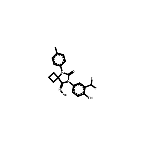 CC(=O)N=C1N(c2ccc(C#N)c(C(F)F)c2)C(=S)N(c2ccc(C)cc2)C12CCC2